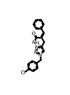 NC(=O)C(=Cc1ccccc1)Cc1cn(Cc2ccc(Cl)cc2)nn1